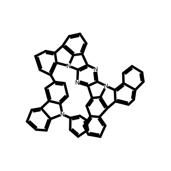 c1ccc(-n2c3ccccc3c3cc(-c4cccc5c6cccc7c8nc9c(nc8n(c45)c67)c4cc5ccccc5c5c6ccc7ccccc7c6n9c45)ccc32)cc1